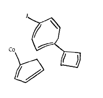 Ic1ccc(C2=CC=C2)cc1.[Co][C]1=CC=CC1